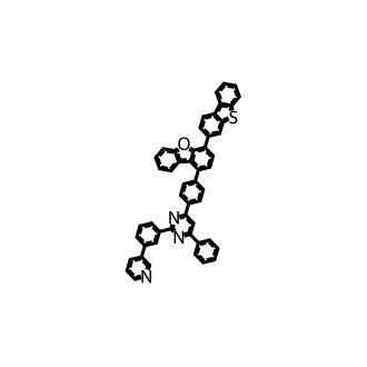 c1ccc(-c2cc(-c3ccc(-c4ccc(-c5ccc6c(c5)sc5ccccc56)c5oc6ccccc6c45)cc3)nc(-c3cccc(-c4cccnc4)c3)n2)cc1